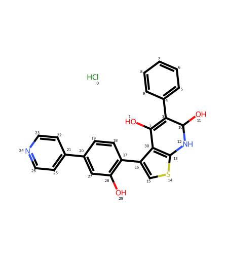 Cl.OC1=C(c2ccccc2)C(O)Nc2scc(-c3ccc(-c4ccncc4)cc3O)c21